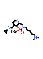 CN(C)CCCCCN(Cc1cc(C=NC2CC2)ccn1)C(=O)OC(C)(C)C